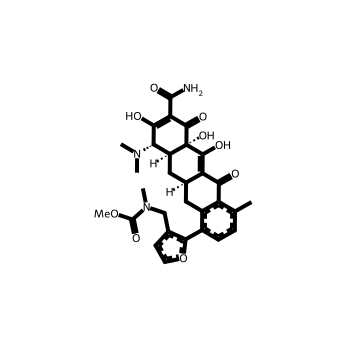 COC(=O)N(C)Cc1ccoc1-c1ccc(C)c2c1C[C@H]1C[C@H]3[C@H](N(C)C)C(O)=C(C(N)=O)C(=O)[C@@]3(O)C(O)=C1C2=O